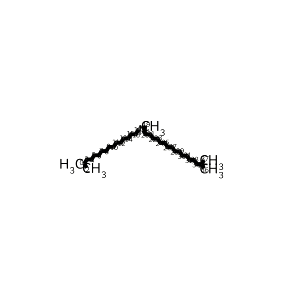 CC(C)CCCCCCCCCCCCCCCN(C)CCCCCCCCCCCCCCCC(C)C